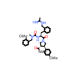 CNC(=O)[C@@H]1CN(C(=O)[C@H](Cc2ccccc2CNC(C)=N)NC(=O)N(C)Cc2ccccc2OC)C[C@H]1c1ccc(OC)cc1